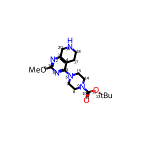 COc1nc2c(c(N3CCN(C(=O)OC(C)(C)C)CC3)n1)CCNC2